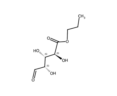 CCCOC(=O)[C@@H](O)[C@@H](O)[C@H](O)C=O